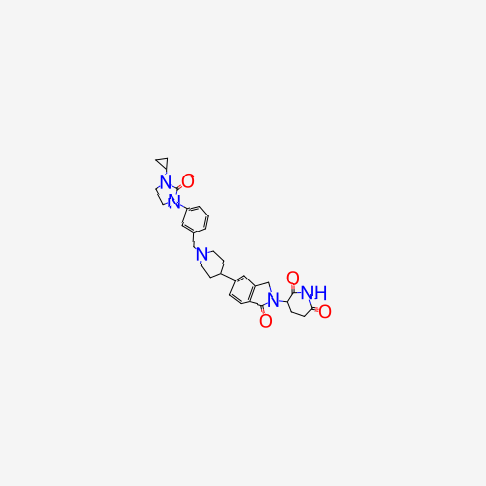 O=C1CCC(N2Cc3cc(C4CCN(Cc5cccc(N6CCN(C7CC7)C6=O)c5)CC4)ccc3C2=O)C(=O)N1